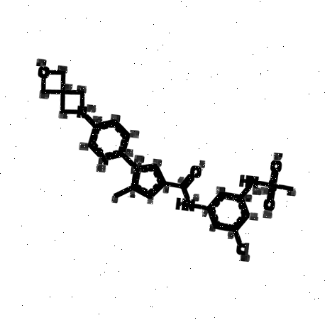 Cc1cc(C(=O)Nc2cc(Cl)cc(NS(C)(=O)=O)c2)cn1-c1ccc(N2CC3(COC3)C2)cn1